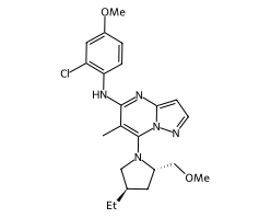 CC[C@@H]1C[C@@H](COC)N(c2c(C)c(Nc3ccc(OC)cc3Cl)nc3ccnn23)C1